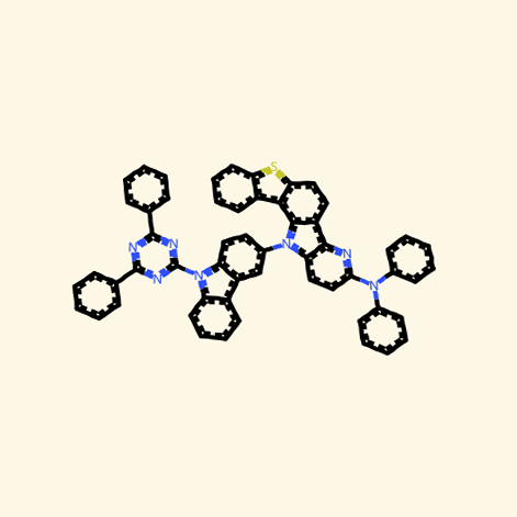 c1ccc(-c2nc(-c3ccccc3)nc(-n3c4ccccc4c4cc(-n5c6ccc(N(c7ccccc7)c7ccccc7)nc6c6ccc7sc8ccccc8c7c65)ccc43)n2)cc1